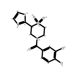 O=C(c1ccc(Cl)c(Cl)c1)N1CCS(=O)(=O)C(c2nccs2)C1